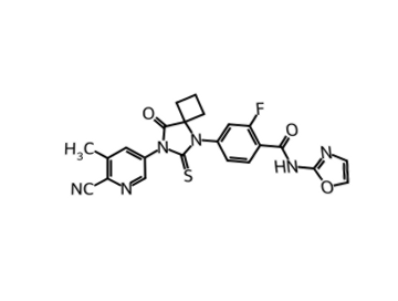 Cc1cc(N2C(=O)C3(CCC3)N(c3ccc(C(=O)Nc4ncco4)c(F)c3)C2=S)cnc1C#N